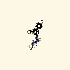 C\C=C/C(Cl)=C(F)\C=C\c1nc(Cl)cc(-c2ccc(F)cc2)n1